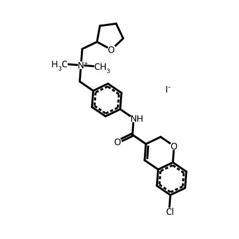 C[N+](C)(Cc1ccc(NC(=O)C2=Cc3cc(Cl)ccc3OC2)cc1)CC1CCCO1.[I-]